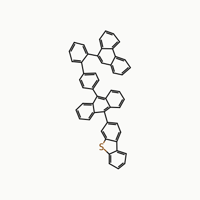 c1ccc(-c2cc3ccccc3c3ccccc23)c(-c2ccc(-c3c4ccccc4c(-c4ccc5c(c4)sc4ccccc45)c4ccccc34)cc2)c1